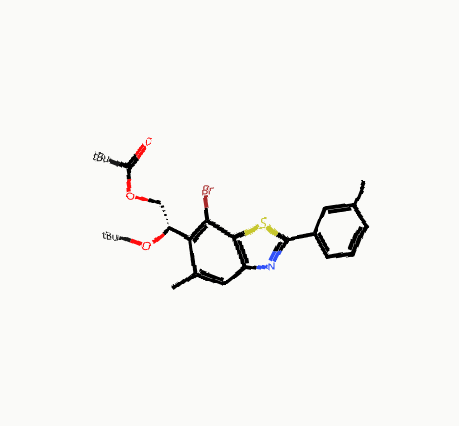 Cc1cccc(-c2nc3cc(C)c([C@@H](COC(=O)C(C)(C)C)OC(C)(C)C)c(Br)c3s2)c1